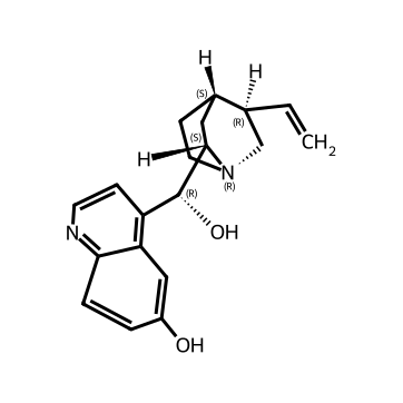 C=C[C@H]1C[N@]2CC[C@H]1C[C@H]2[C@H](O)c1ccnc2ccc(O)cc12